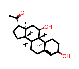 CC(=O)[C@H]1CC[C@H]2[C@@H]3CCC4=CC(O)CC[C@]4(C)[C@H]3[C@H](O)C[C@]12C